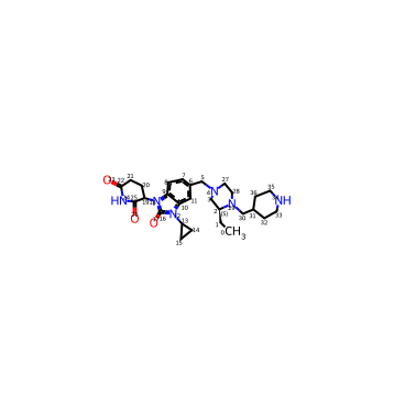 CC[C@H]1CN(Cc2ccc3c(c2)n(C2CC2)c(=O)n3C2CCC(=O)NC2=O)CCN1CC1CCNCC1